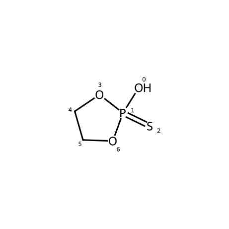 OP1(=S)OCCO1